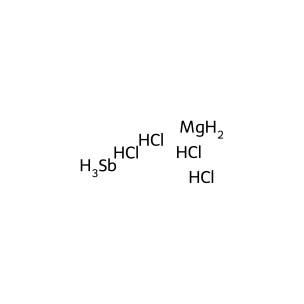 Cl.Cl.Cl.Cl.[MgH2].[SbH3]